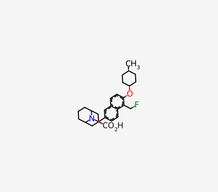 C[C@H]1CC[C@@H](Oc2ccc3cc(CN4C5CCCC4CC(C(=O)O)C5)ccc3c2CF)CC1